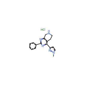 Cl.Cn1ccc(-c2nc(-c3ccccc3)nc3c2CCNC3)n1